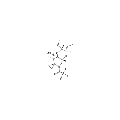 CO[C@@]1(C)O[C@@H]2[C@@H](CO)C3(CC3)N(C(=O)C(F)(F)F)C[C@H]2O[C@]1(C)OC